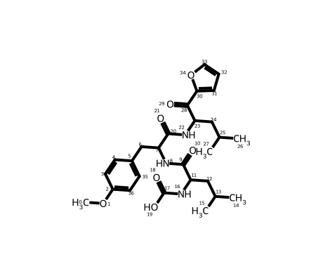 COc1ccc(CC(NC(=O)C(CC(C)C)NC(=O)O)C(=O)NC(CC(C)C)C(=O)c2ccco2)cc1